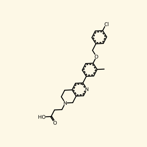 Cc1cc(-c2cc3c(cn2)CN(CCC(=O)O)CC3)ccc1OCc1ccc(Cl)cc1